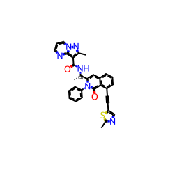 Cc1ncc(C#Cc2cccc3cc([C@H](C)NC(=O)c4c(C)nn5cccnc45)n(-c4ccccc4)c(=O)c23)s1